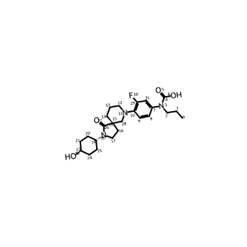 CCCN(C(=O)O)c1ccc(N2CCC[C@]3(CCN([C@H]4CC[C@H](O)CC4)C3=O)C2)c(F)c1